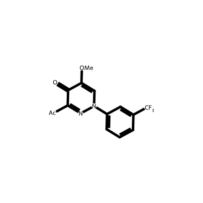 COc1cn(-c2cccc(C(F)(F)F)c2)nc(C(C)=O)c1=O